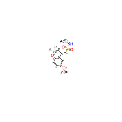 CCCCOc1ccc2c(c1)C(CS(=O)(=O)NOC(C)=O)CC(C)(C)O2